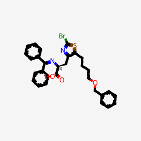 O=C(O)[C@H](Cc1nc(Br)sc1CCCCOCc1ccccc1)N=C(c1ccccc1)c1ccccc1